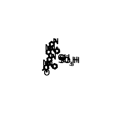 Cc1cc2nc3cc(-c4ccc5nc6ccc(N(C)C)cc6[n+](-c6ccccc6)c5c4)c(N(C)C)cc3n(-c3ccccc3)c-2cc1=O.O=S(=O)(O)O.O=S(=O)([O-])O